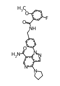 COc1ccc(F)cc1C(=O)NCc1ccc(-n2ncc3c(N4CCCC4)ncc(C(N)=O)c32)cc1